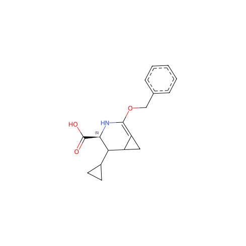 O=C(O)[C@H]1NC(OCc2ccccc2)=C2CC2C1C1CC1